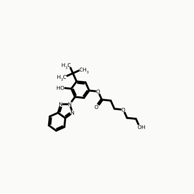 CC(C)(C)c1cc(OC(=O)CCOCCO)cc(-n2nc3ccccc3n2)c1O